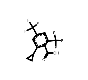 O=C(O)c1c(C2CC2)cc(C(F)(F)F)cc1C(F)(F)F